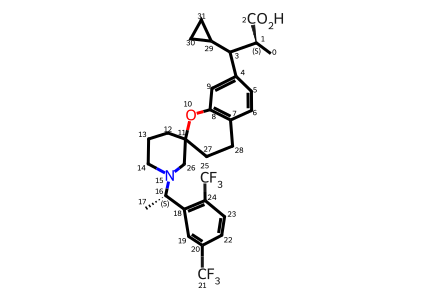 C[C@H](C(=O)O)C(c1ccc2c(c1)OC1(CCCN([C@@H](C)c3cc(C(F)(F)F)ccc3C(F)(F)F)C1)CC2)C1CC1